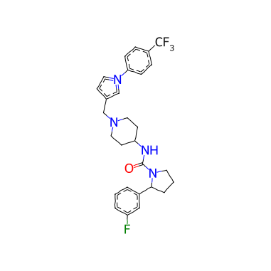 O=C(NC1CCN(Cc2ccn(-c3ccc(C(F)(F)F)cc3)c2)CC1)N1CCCC1c1cccc(F)c1